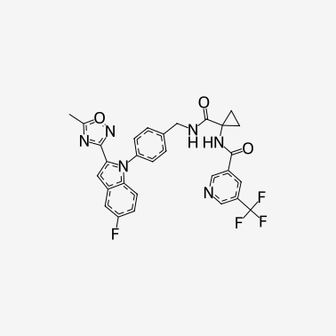 Cc1nc(-c2cc3cc(F)ccc3n2-c2ccc(CNC(=O)C3(NC(=O)c4cncc(C(F)(F)F)c4)CC3)cc2)no1